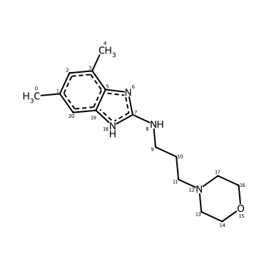 Cc1cc(C)c2nc(NCCCN3CCOCC3)[nH]c2c1